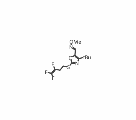 CO/N=C/c1oc(SCCC(F)=C(F)F)nc1C(C)(C)C